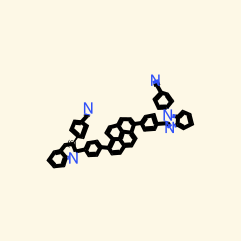 N#Cc1ccc([C@@H]2Cc3ccccc3N=C2c2ccc(-c3ccc4ccc5c(-c6ccc(-c7nc8ccccc8n7-c7ccc(C#N)cc7)cc6)ccc6ccc3c4c65)cc2)cc1